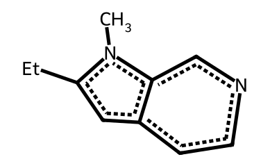 CCc1cc2ccncc2n1C